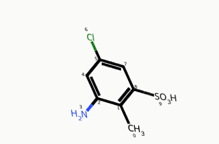 Cc1c(N)cc(Cl)cc1S(=O)(=O)O